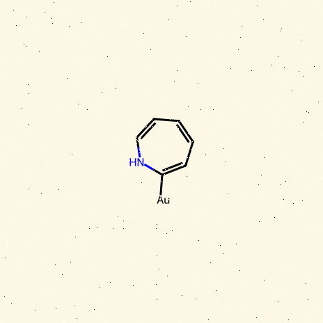 [Au][C]1=CC=CC=CN1